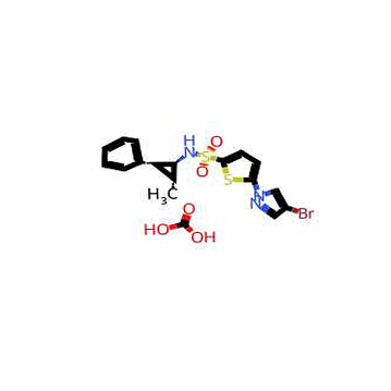 C[C@H]1[C@H](NS(=O)(=O)c2ccc(-n3cc(Br)cn3)s2)[C@H]1c1ccccc1.O=C(O)O